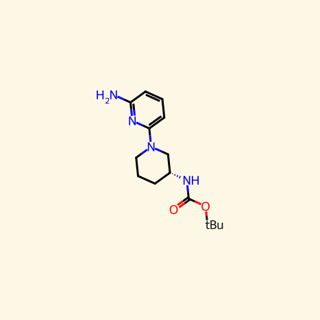 CC(C)(C)OC(=O)N[C@@H]1CCCN(c2cccc(N)n2)C1